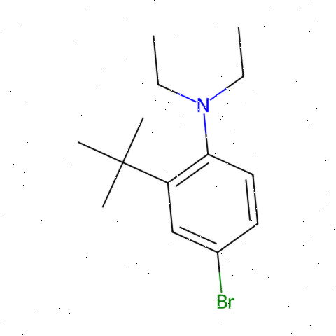 CCN(CC)c1ccc(Br)cc1C(C)(C)C